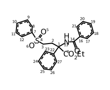 CCOC(=O)C(CCS(=O)(=O)c1ccccc1)(NC(=O)c1ccccc1)c1ccccc1